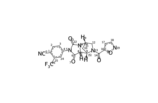 N#Cc1ccc(N2C(=O)[C@H]3[C@@H]4C[C@@H](CN4C(=O)c4ccno4)N3C2=O)cc1C(F)(F)F